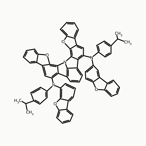 CC(C)c1ccc(N(c2ccc3oc4ccccc4c3c2)c2cc3c4ccccc4oc3c3c2c2cccc4c5c(N(c6ccc(C(C)C)cc6)c6cccc7c6oc6ccccc67)cc6c7ccccc7oc6c5n3c24)cc1